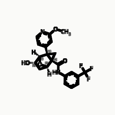 COc1cc([C@@]23C[C@]2(C(=O)Nc2cccc(C(F)(F)F)c2)[C@H]2C[C@H](O)[C@@H]3O2)ccn1